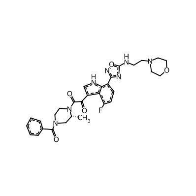 C[C@@H]1CN(C(=O)c2ccccc2)CCN1C(=O)C(=O)c1c[nH]c2c(-c3noc(NCCN4CCOCC4)n3)ccc(F)c12